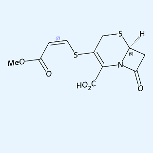 COC(=O)/C=C\SC1=C(C(=O)O)N2C(=O)C[C@@H]2SC1